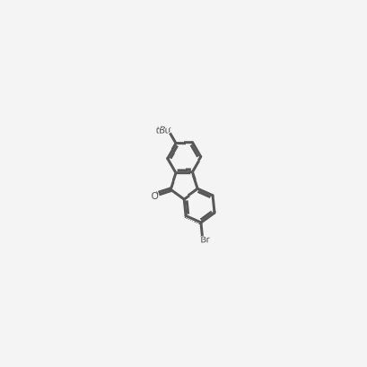 CC(C)(C)c1ccc2c(c1)C(=O)c1cc(Br)ccc1-2